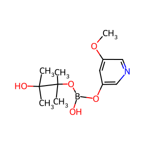 COc1cncc(OB(O)OC(C)(C)C(C)(C)O)c1